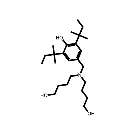 CCC(C)(C)c1cc(CN(CCCCO)CCCCO)cc(C(C)(C)CC)c1O